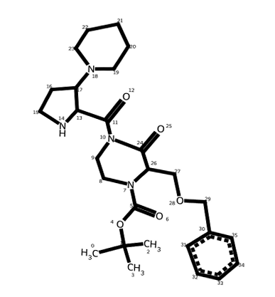 CC(C)(C)OC(=O)N1CCN(C(=O)C2NCCC2N2CCCCC2)C(=O)C1COCc1ccccc1